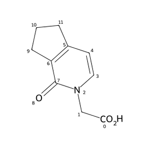 O=C(O)Cn1ccc2c(c1=O)CCC2